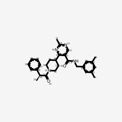 Cc1cc(C)cc(CNC(=O)c2cnc(C)nc2C2CCN(C(=O)[C@@H](C)c3ccccc3)CC2)c1